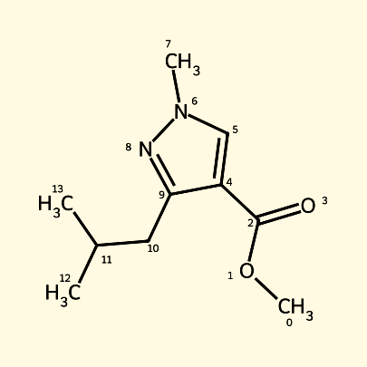 COC(=O)c1cn(C)nc1CC(C)C